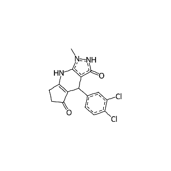 Cn1[nH]c(=O)c2c1NC1=C(C(=O)CC1)C2c1ccc(Cl)c(Cl)c1